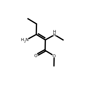 CCC(N)=C(NC)C(=O)OC